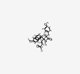 COc1ccc(CC2(Sc3ccccc3)C(=O)N(C)C2(C=CC(C)=O)Cc2ccc(OC)cc2)cc1